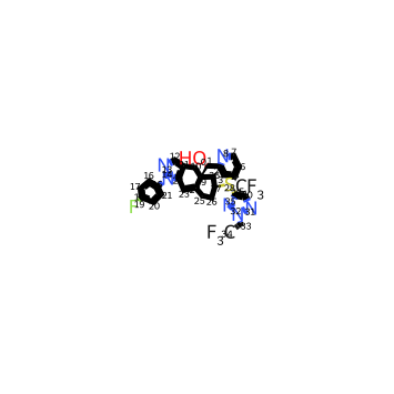 OC(c1cc(C(F)(F)F)ccn1)[C@]12Cc3cnn(-c4ccc(F)cc4)c3C=C1CC[C@H](Sc1cnn(CC(F)(F)F)n1)C2